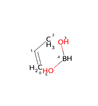 C=CC.OBO